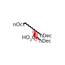 CCCCCCCC/C=C\CCCCCCCCC(CCCCCCCCCCCCCCC)OC(=O)CC(OC(=O)CCCCCCCCCCCCC)C(=O)O